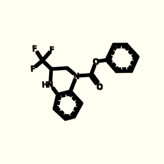 O=C(Oc1ccccc1)N1CC(C(F)(F)F)Nc2ccccc21